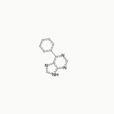 [c]1ccccc1-c1ncnc2[nH]cnc12